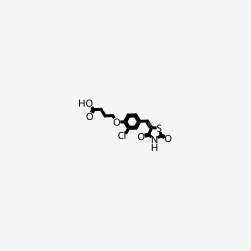 O=C(O)CCCOc1ccc(/C=C2/SC(=O)NC2=O)cc1Cl